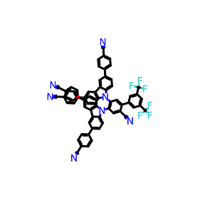 N#Cc1ccc(-c2ccc3c(c2)c2cc(-c4ccc(C#N)cc4)ccc2n3-c2cc(C#N)c(-c3cc(C(F)(F)F)cc(C(F)(F)F)c3)cc2-n2c3ccc(-c4ccc(C#N)cc4)cc3c3cc(-c4ccc(C#N)cc4)ccc32)cc1